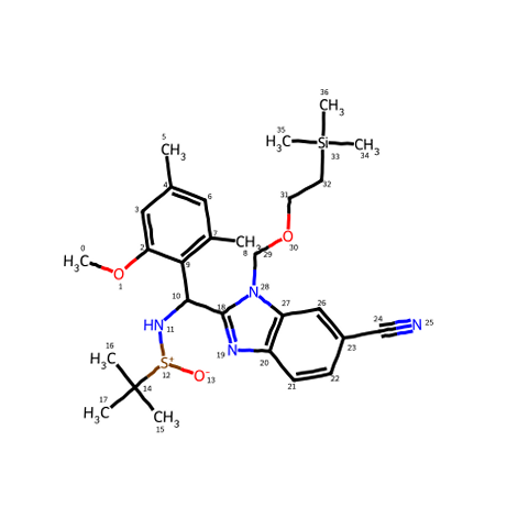 COc1cc(C)cc(C)c1C(N[S+]([O-])C(C)(C)C)c1nc2ccc(C#N)cc2n1COCC[Si](C)(C)C